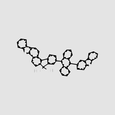 CC1(C)c2cc(-c3c4ccccc4c(-c4ccc5sc6ccccc6c5c4)c4ccccc34)ccc2-c2c1ccc1c2ccc2c3ccccc3sc12